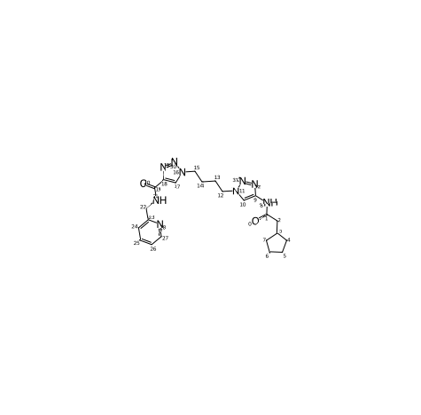 O=C(CC1CCCC1)Nc1cn(CCCCn2cc(C(=O)NCc3ccccn3)nn2)nn1